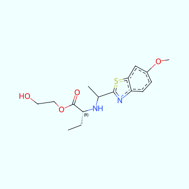 CC[C@@H](NC(C)c1nc2ccc(OC)cc2s1)C(=O)OCCO